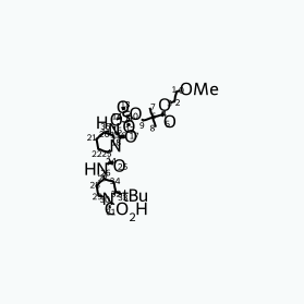 COCCOC(=O)C(C)(C)COS(=O)(=O)ON1C(=O)N2C[C@H]1CC[C@H]2C(=O)NC1CCN(C(=O)O)C(C(C)(C)C)C1